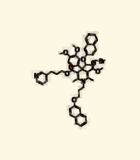 COC(=O)C1=C(C)N(CCCOc2ccc3ccccc3c2)C(C)=C(C(=O)OCCCc2cccnc2)C1(c1ccc(OC)c(OC)c1)C(CCBr)Oc1ccc2ccccc2c1